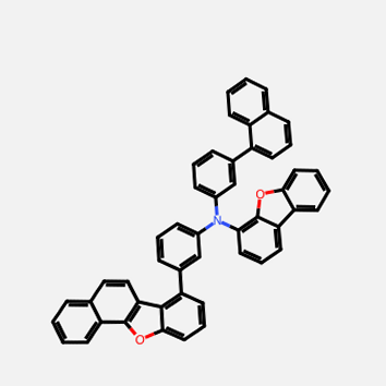 c1cc(-c2cccc3ccccc23)cc(N(c2cccc(-c3cccc4oc5c6ccccc6ccc5c34)c2)c2cccc3c2oc2ccccc23)c1